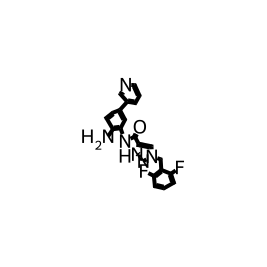 Nc1ccc(-c2cccnc2)cc1NC(=O)c1cn(Cc2c(F)cccc2F)nn1